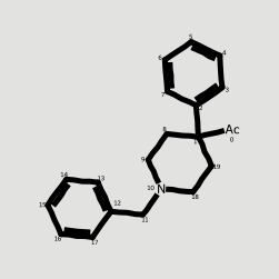 CC(=O)C1(c2ccccc2)CCN(Cc2ccccc2)CC1